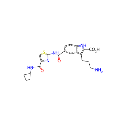 NCCCc1c(C(=O)O)[nH]c2ccc(C(=O)Nc3nc(C(=O)NC4CCC4)cs3)cc12